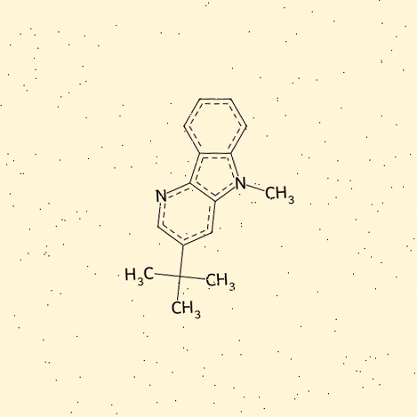 Cn1c2ccccc2c2ncc(C(C)(C)C)cc21